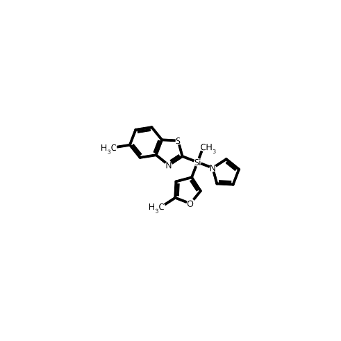 Cc1ccc2sc([Si](C)(c3coc(C)c3)n3cccc3)nc2c1